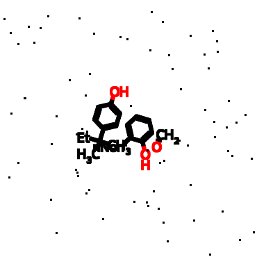 C=O.CCC(C)(C)c1ccc(O)cc1.CCCCCCCCCc1ccccc1O